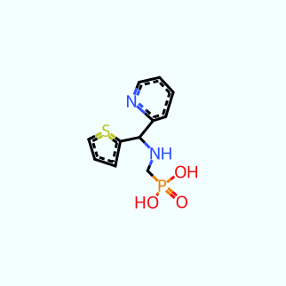 O=P(O)(O)CNC(c1ccccn1)c1cccs1